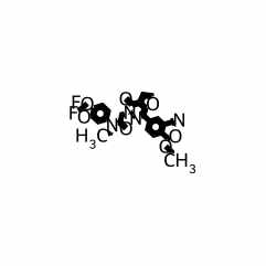 CCOC(=O)c1ccc(-c2nn(CC(=O)N(CC)c3ccc4c(c3)OC(F)(F)O4)c(=O)c3ccoc23)cc1C#N